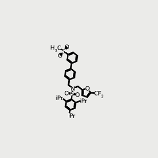 CC(C)c1cc(C(C)C)c(S(=O)(=O)N(Cc2ccc(-c3cccc(S(C)(=O)=O)c3)cc2)Cc2ccc(C(F)(F)F)o2)c(C(C)C)c1